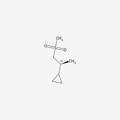 C[C@H](CS(C)(=O)=O)C1CC1